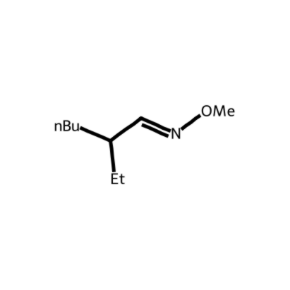 CCCCC(/C=N/OC)CC